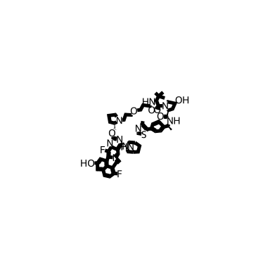 C#Cc1c(F)ccc2cc(O)cc(-c3ncc4c(N5CC6CCC(C5)N6)nc(OC[C@@H]5CCCN5CCCOCCC(=O)N[C@H](C(=O)N5C[C@H](O)C[C@H]5C(=O)N[C@@H](C)c5ccc(-c6scnc6C)cc5)C(C)(C)C)nc4c3F)c12